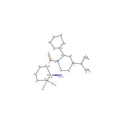 CC(C)N1CCN(C(=O)[C@H]2CCCC(F)(F)[C@@H]2N)C(C2CCCCC2)C1